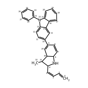 C=C/C=C\C1NC2C=CC(c3ccc4c(c3)c3ccccc3n4-c3ccccc3)=CC2C1C